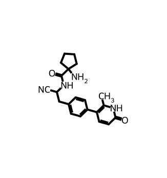 Cc1[nH]c(=O)ccc1-c1ccc(CC(C#N)NC(=O)C2(N)CCCC2)cc1